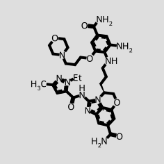 CCn1nc(C)cc1C(=O)Nc1nc2cc(C(N)=O)cc3c2n1[C@@H](CCCNc1c(N)cc(C(N)=O)cc1OCCCN1CCOCC1)CO3